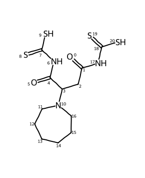 O=C(CC(C(=O)NC(=S)S)N1CCCCCC1)NC(=S)S